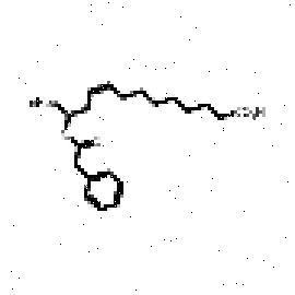 CCCCCCC(C/C=C\CCCCCCCC(=O)O)OC(=O)Cc1ccccc1